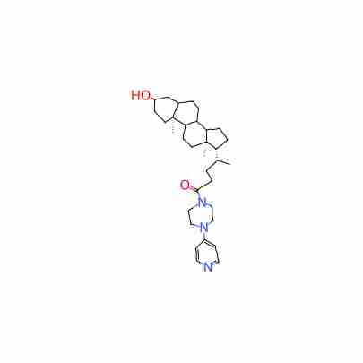 CC(CCC(=O)N1CCN(c2ccncc2)CC1)[C@H]1CCC2C3CCC4C[C@H](O)CC[C@]4(C)C3CC[C@@]21C